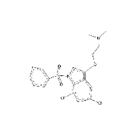 CN(C)CCOc1cn(S(=O)(=O)c2ccccc2)c2c(Cl)cc(Cl)cc12